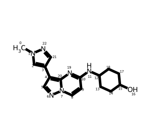 Cn1cc(-c2cnn3ccc(NC4CCC(O)CC4)nc23)cn1